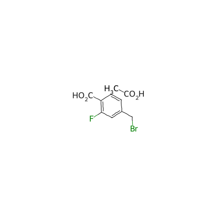 CC(=O)O.O=C(O)c1ccc(CBr)cc1F